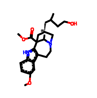 COC(=O)C12C[C@H](CC(C)CCO)CN(CCc3c1[nH]c1ccc(OC)cc31)C2C